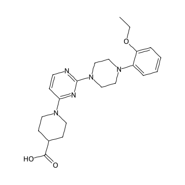 CCOc1ccccc1N1CCN(c2nccc(N3CCC(C(=O)O)CC3)n2)CC1